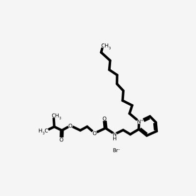 CCCCCCCCCC[n+]1ccccc1CCNC(=O)OCCOC(=O)C(C)C.[Br-]